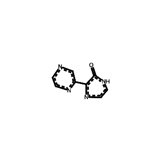 O=c1[nH]ccnc1-c1cnccn1